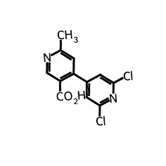 Cc1cc(-c2cc(Cl)nc(Cl)c2)c(C(=O)O)cn1